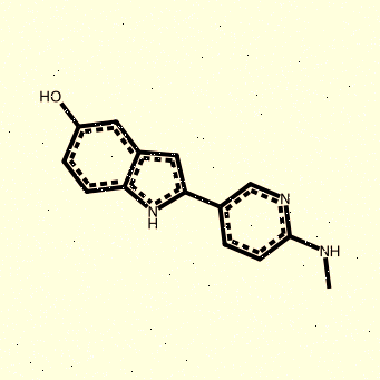 CNc1ccc(-c2cc3cc(O)ccc3[nH]2)cn1